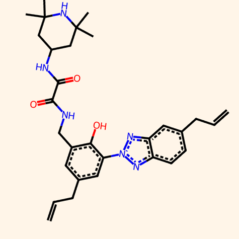 C=CCc1cc(CNC(=O)C(=O)NC2CC(C)(C)NC(C)(C)C2)c(O)c(-n2nc3ccc(CC=C)cc3n2)c1